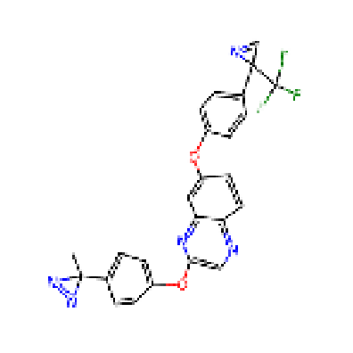 CC1(c2ccc(Oc3cnc4ccc(Oc5ccc(C6(C(F)(F)F)C=N6)cc5)cc4n3)cc2)N=N1